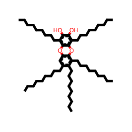 CCCCCCCCCc1cc2c(c(CCCCCCCCC)c1CCCCCCCCC)Oc1c(CCCCCCCCC)c(O)c(O)c(CCCCCCCCC)c1O2